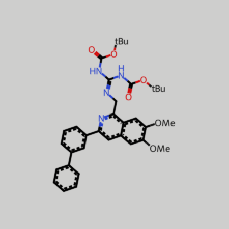 COc1cc2cc(-c3cccc(-c4ccccc4)c3)nc(CN=C(NC(=O)OC(C)(C)C)NC(=O)OC(C)(C)C)c2cc1OC